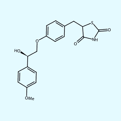 COc1ccc([C@@H](O)COc2ccc(CC3SC(=O)NC3=O)cc2)cc1